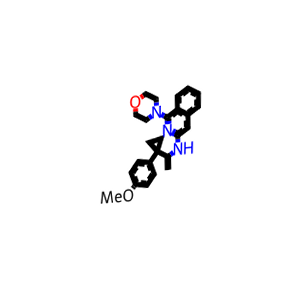 C=C(Nc1cc2ccccc2c(N2CCOCC2)n1)C1(c2ccc(OC)cc2)CC1